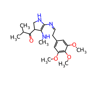 CNC1=C(/N=C\Cc2cc(OC)c(OC)c(OC)c2)NCC1C(=O)C(C)C